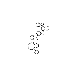 CC1(C)c2cc(-c3ccc(-c4ccccccc(-c5ccccc5)c5ccccc45)c4ccccc34)ccc2-c2c1c1ccccc1c1oc3ccccc3c21